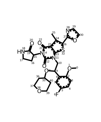 COc1ccc(F)cc1C(Cn1c(=O)n(C2CCNC2=O)c(=O)c2c(C)c(-c3ncco3)sc21)OC1CCOCC1